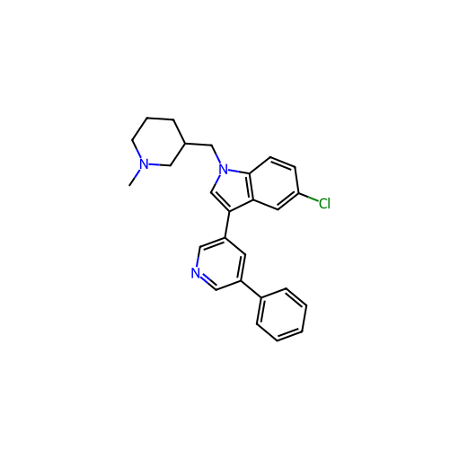 CN1CCCC(Cn2cc(-c3cncc(-c4ccccc4)c3)c3cc(Cl)ccc32)C1